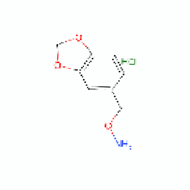 Cl.NOCc1ccc2c(c1)OCO2